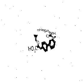 CCCCCCCNC(=O)N(C)c1cccc(-c2ccc(CC(OCC3CC3)C(=O)O)cc2)c1